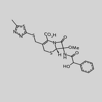 COC1(NC(=O)C(O)c2ccccc2)C(=O)N2C(C(=O)O)=C(CSc3nnc(C)s3)CS[C@H]21